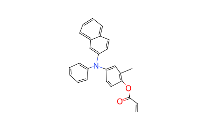 C=CC(=O)Oc1ccc(N(c2ccccc2)c2ccc3ccccc3c2)cc1C